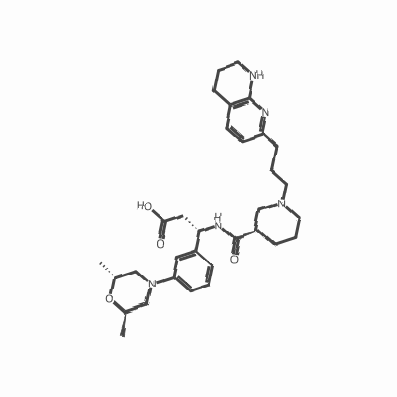 C[C@@H]1CN(c2cccc([C@H](CC(=O)O)NC(=O)[C@@H]3CCCN(CCCc4ccc5c(n4)NCCC5)C3)c2)C[C@@H](C)O1